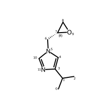 CC(C)c1cn(C[C@@H]2CO2)cn1